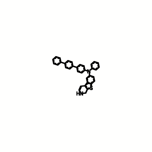 C1=Cc2c(sc3ccc(N(c4ccccc4)c4ccc(-c5ccc(-c6ccccc6)cc5)cc4)cc23)CN1